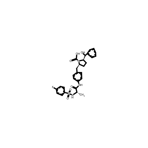 C[C@H](NS(=O)(=O)c1ccc(F)cc1)C(=O)Nc1ccc(C[C@@H]2CC[C@H](C(O)c3ccccc3)N2C(=O)O)cc1